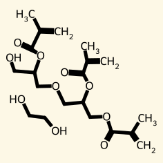 C=C(C)C(=O)OCC(COCC(CO)OC(=O)C(=C)C)OC(=O)C(=C)C.OCCO